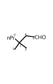 CCCC(C)(C)CC=O